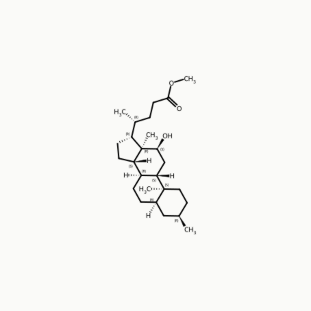 COC(=O)CC[C@@H](C)[C@H]1CC[C@H]2[C@@H]3CC[C@@H]4C[C@H](C)CC[C@]4(C)[C@H]3C[C@H](O)[C@]12C